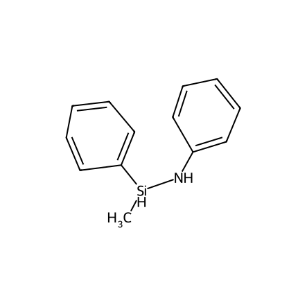 C[SiH](Nc1ccccc1)c1ccccc1